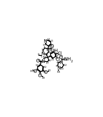 CCN1CCC(C(=O)O)(c2cccnc2)CC1C1(c2ccc(Cl)c(Cl)c2)CCN(C(=O)c2cc(OC)c(OC)c(OC)c2)C1.CN1CCN(C(N)=O)CC1